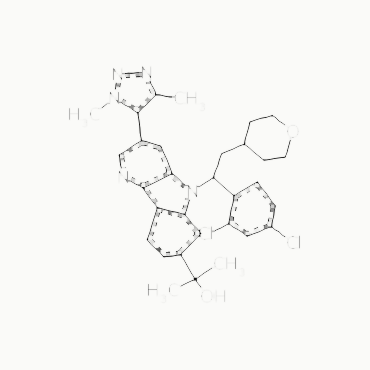 Cc1nnn(C)c1-c1cnc2c3ccc(C(C)(C)O)cc3n(C(CC3CCOCC3)c3ccc(Cl)cc3Cl)c2c1